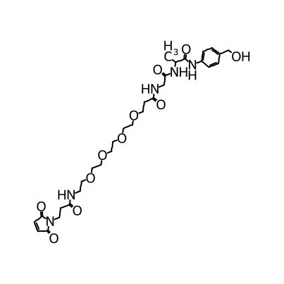 CC(NC(=O)CNC(=O)CCOCCOCCOCCOCCNC(=O)CCN1C(=O)C=CC1=O)C(=O)Nc1ccc(CO)cc1